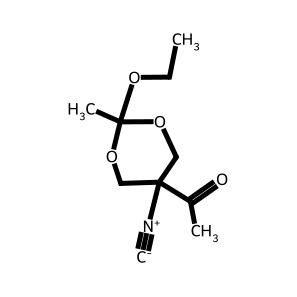 [C-]#[N+]C1(C(C)=O)COC(C)(OCC)OC1